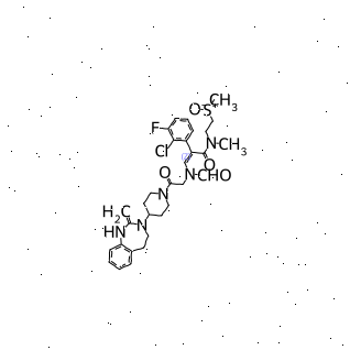 C=C1Nc2ccccc2CCN1C1CCN(C(=O)CN(C=O)/C=C(\C(=O)N(C)CC[S+](C)[O-])c2cccc(F)c2Cl)CC1